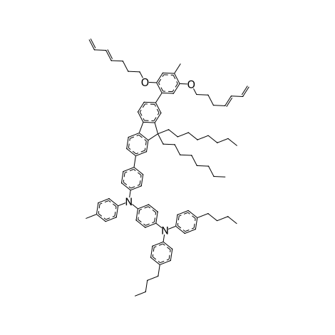 C=C/C=C/CCCOc1cc(-c2ccc3c(c2)C(CCCCCCCC)(CCCCCCCC)c2cc(-c4ccc(N(c5ccc(C)cc5)c5ccc(N(c6ccc(CCCC)cc6)c6ccc(CCCC)cc6)cc5)cc4)ccc2-3)c(OCCC/C=C/C=C)cc1C